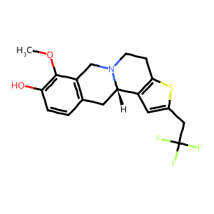 COc1c(O)ccc2c1CN1CCc3sc(CC(F)(F)F)cc3[C@@H]1C2